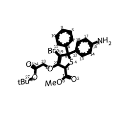 COC(=O)C1SC(c2ccccc2)(c2ccc(N)cc2)C(Br)=C1OCC(=O)OC(C)(C)C